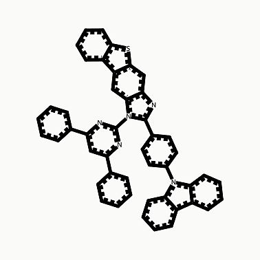 c1ccc(-c2cc(-c3ccccc3)nc(-n3c(-c4ccc(-n5c6ccccc6c6ccccc65)cc4)nc4cc5sc6ccccc6c5cc43)n2)cc1